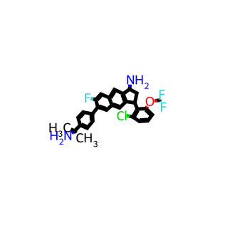 CC(C)(N)c1ccc(-c2cc3cc4c(cc3cc2F)C(N)CC4c2c(Cl)cccc2OC(F)F)cc1